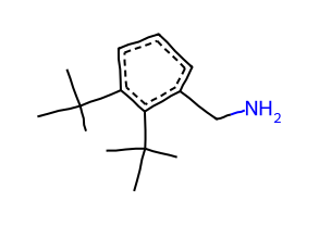 CC(C)(C)c1cccc(CN)c1C(C)(C)C